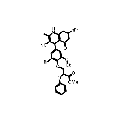 CCCC1CC(=O)C2=C(C1)NC(C)=C(C#N)C2c1cc(Br)c(OCC(Oc2ccccc2)C(=O)OC)c(OCC)c1